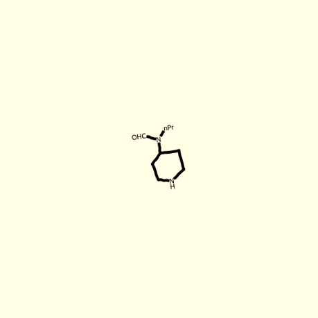 CCCN(C=O)C1CCNCC1